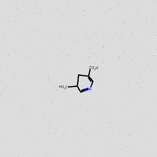 O=C(O)C1=CN=CC(C(=O)O)C1